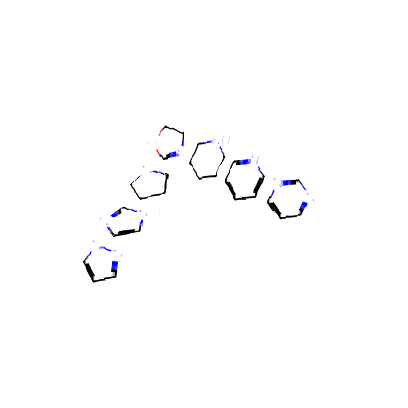 C1=NCCO1.C1CCNC1.C1CCNCC1.c1c[nH]cn1.c1ccncc1.c1cn[nH]c1.c1cncnc1